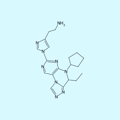 CCC1c2nncn2-c2cnc(-n3cnc(CCN)c3)nc2N1C1CCCC1